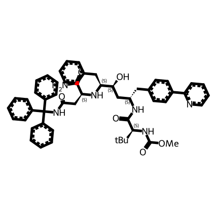 COC(=O)N[C@H](C(=O)N[C@@H](Cc1ccc(-c2ccccn2)cc1)C[C@H](O)[C@H](Cc1ccccc1)N[C@@H](CC(=O)NC(c1ccccc1)(c1ccccc1)c1ccccc1)C(N)=O)C(C)(C)C